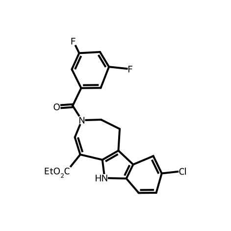 CCOC(=O)C1=CN(C(=O)c2cc(F)cc(F)c2)CCc2c1[nH]c1ccc(Cl)cc21